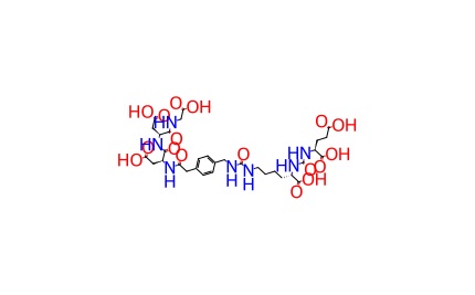 O=C(O)CC[C@H](NC(=O)N[C@@H](CCCCNC(=O)NCc1ccc(CC(=O)N[C@@H](CC(=O)O)C(=O)N[C@@H](CC(=O)O)C(=O)NCC(=O)O)cc1)C(=O)O)C(=O)O